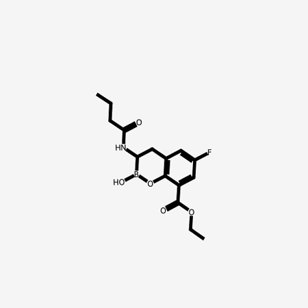 CCCC(=O)NC1Cc2cc(F)cc(C(=O)OCC)c2OB1O